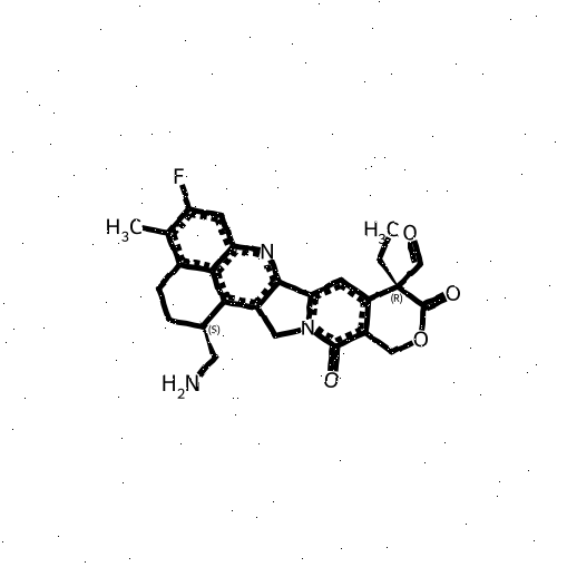 CC[C@@]1(C=O)C(=O)OCc2c1cc1n(c2=O)Cc2c-1nc1cc(F)c(C)c3c1c2[C@@H](CN)CC3